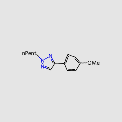 CCCCCn1ncc(-c2ccc(OC)cc2)n1